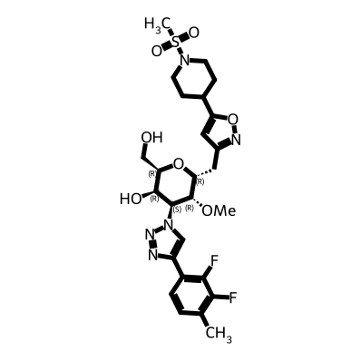 CO[C@@H]1[C@@H](n2cc(-c3ccc(C)c(F)c3F)nn2)[C@@H](O)[C@@H](CO)O[C@@H]1Cc1cc(C2CCN(S(C)(=O)=O)CC2)on1